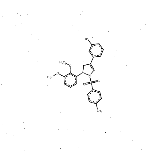 COc1cccc(C2CC(c3cccc(Br)c3)=NN2S(=O)(=O)c2ccc(C)cc2)c1OC